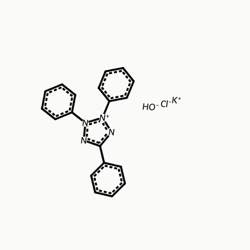 [Cl-].[K+].[OH-].c1ccc(-c2nn(-c3ccccc3)[n+](-c3ccccc3)n2)cc1